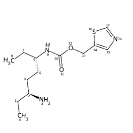 CC[C@H](N)CC[C@H](CC)NC(=O)OCc1cncs1